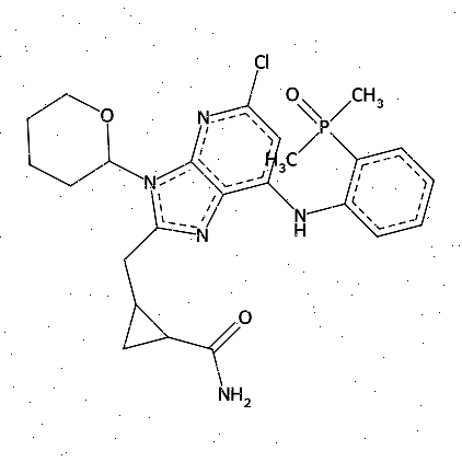 CP(C)(=O)c1ccccc1Nc1cc(Cl)nc2c1nc(CC1CC1C(N)=O)n2C1CCCCO1